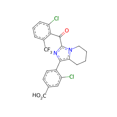 O=C(O)c1ccc(-c2nc(C(=O)c3c(Cl)cccc3C(F)(F)F)n3c2CCCC3)c(Cl)c1